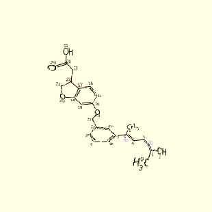 C/C(O)=C\C=C(/C)c1cccc(COc2ccc3c(c2)OCC3CC(=O)O)c1